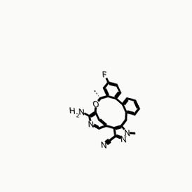 C[C@H]1Oc2cc(cnc2N)-c2c(C#N)nn(C)c2Cc2ccccc2-c2ccc(F)cc21